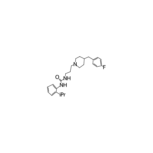 CC(C)c1ccccc1NC(=O)NCCCN1CCC(Cc2ccc(F)cc2)CC1